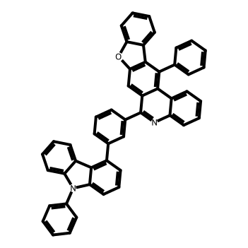 c1ccc(-c2c3c(cc4c(-c5cccc(-c6cccc7c6c6ccccc6n7-c6ccccc6)c5)nc5ccccc5c24)oc2ccccc23)cc1